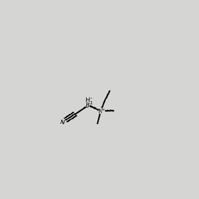 C[N+](C)(C)[BH2-]C#N